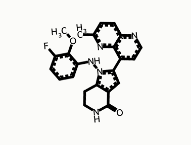 COc1c(F)cccc1Nn1c(-c2ccnc3ccc(C)nc23)cc2c1CCNC2=O